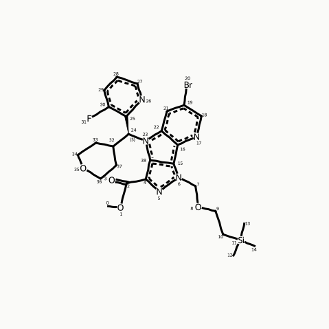 COC(=O)c1nn(COCC[Si](C)(C)C)c2c3ncc(Br)cc3n([C@H](c3ncccc3F)C3CCOCC3)c12